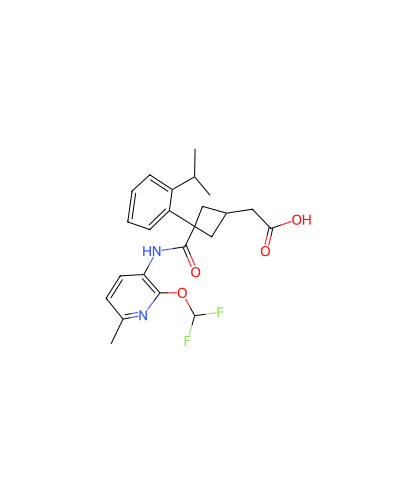 Cc1ccc(NC(=O)C2(c3ccccc3C(C)C)CC(CC(=O)O)C2)c(OC(F)F)n1